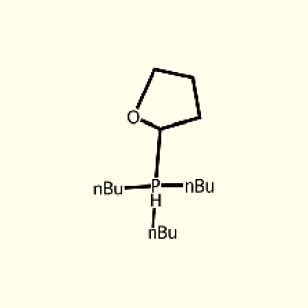 CCCC[PH](CCCC)(CCCC)C1CCCO1